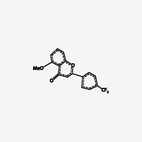 COc1cccc2oc(-c3ccc(C(F)(F)F)cc3)cc(=O)c12